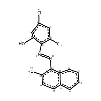 Oc1cc(Cl)cc(Cl)c1N=Nc1c(O)ccc2ccccc12